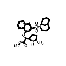 CC(C)(C)OC(=O)C(Oc1cc(S(=O)(=O)N2CCCC3CCCC2C3)cc2ccccc12)C1CCCN1.[CH2]